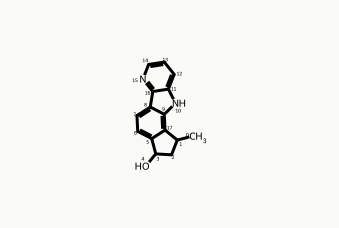 CC1CC(O)c2ccc3c([nH]c4cccnc43)c21